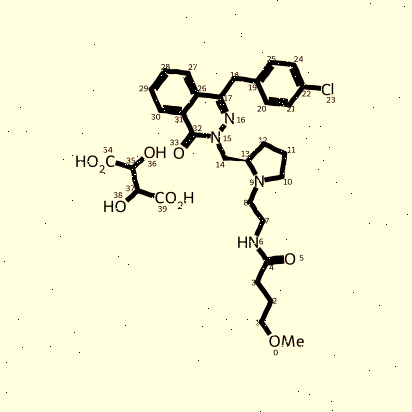 COCCCC(=O)NCCN1CCC[C@@H]1Cn1nc(Cc2ccc(Cl)cc2)c2ccccc2c1=O.O=C(O)C(O)C(O)C(=O)O